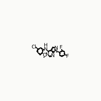 COc1ccc(Cl)cc1Nc1ncnc2c1cnn2-c1ccc(F)cc1F